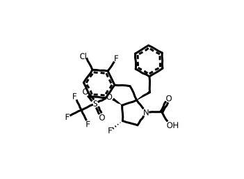 O=C(O)N1C[C@H](F)[C@@H](OS(=O)(=O)C(F)(F)F)[C@]1(Cc1ccccc1)Cc1cccc(Cl)c1F